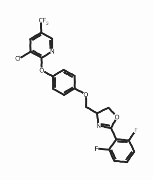 Fc1cccc(F)c1C1=NC(COc2ccc(Oc3ncc(C(F)(F)F)cc3Cl)cc2)CO1